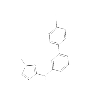 Cn1ccc(Nc2cccc(-c3ccc(F)cc3)c2)n1